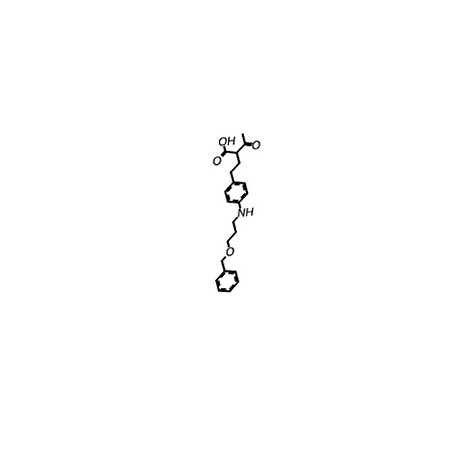 CC(=O)C(CCc1ccc(NCCCOCc2ccccc2)cc1)C(=O)O